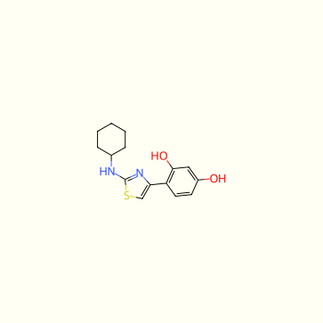 Oc1ccc(-c2csc(NC3CCCCC3)n2)c(O)c1